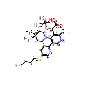 CCCCSc1ccc(-c2cnc(C)c([C@H](OC(C)(C)C)C(=O)O)c2N2CCC(C)(C)CC2)nc1